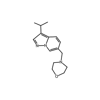 CC(C)c1cnn2cc(CN3CCOCC3)ccc12